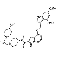 COc1cc(OC)c2c(COc3cccc4[nH]c(C(=O)NC5CCN(C[C@H](C)N6CCC(O)CC6)CC5)cc34)coc2c1